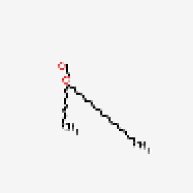 CCCCCCCCCCCCCCCCC(CCCCCCCC)OCC1CO1